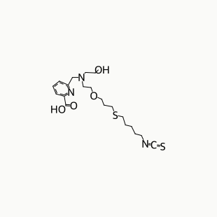 O=C(O)c1cccc(CN(CCO)CCOCCCSCCCCCN=C=S)n1